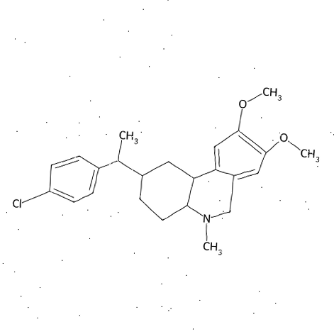 COc1cc2c(cc1OC)C1CC(C(C)c3ccc(Cl)cc3)CCC1N(C)C2